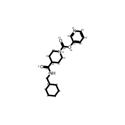 O=C(NCC1CCCCC1)C1CCN(C(=O)Oc2cccnc2)CC1